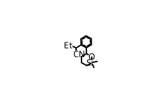 CCC(C#N)c1ccccc1C1CCC[Si](C)(C)O1